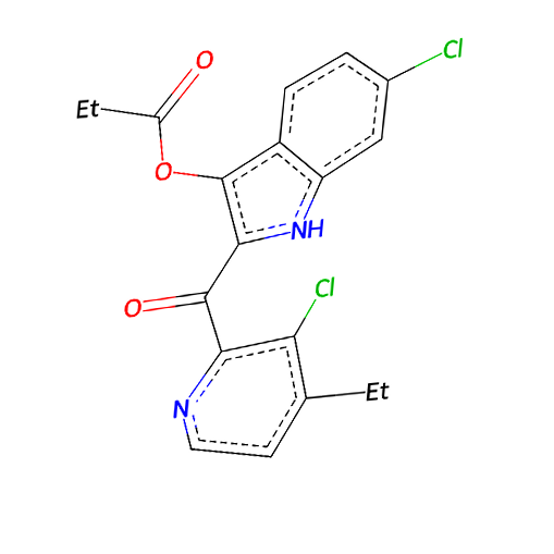 CCC(=O)Oc1c(C(=O)c2nccc(CC)c2Cl)[nH]c2cc(Cl)ccc12